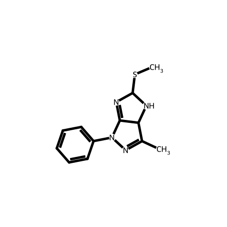 CSC1N=C2C(N1)C(C)=NN2c1ccccc1